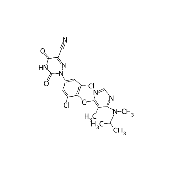 Cc1c(Oc2c(Cl)cc(-n3nc(C#N)c(=O)[nH]c3=O)cc2Cl)ncnc1N(C)C(C)C